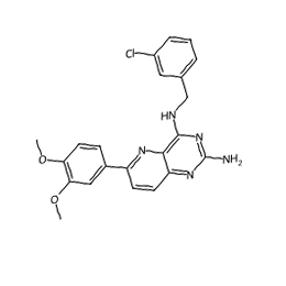 COc1ccc(-c2ccc3nc(N)nc(NCc4cccc(Cl)c4)c3n2)cc1OC